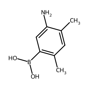 Cc1cc(C)c(B(O)O)cc1N